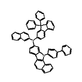 c1ccc(-c2ccc(-n3c4cc(N(c5ccc6c(c5)C(c5ccccc5)(c5ccccc5)c5ccccc5-6)c5ccc6ccccc6c5)ccc4c4ccc5ccccc5c43)cc2)cc1